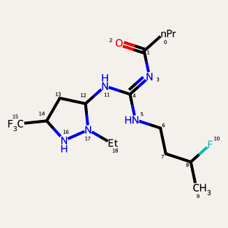 CCCC(=O)/N=C(/NCCC(C)F)NC1CC(C(F)(F)F)NN1CC